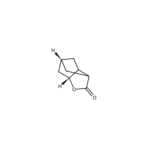 O=C1O[C@@H]2C[C@H]3CC1C2C3